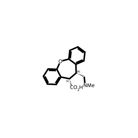 CNC[C@H]1c2ccccc2Oc2ccccc2[C@H]1C(=O)O